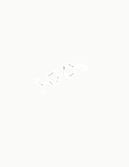 O=C(Cl)c1ccc(-c2ccc(CCl)cc2)nc1